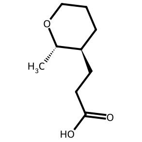 C[C@@H]1OCCC[C@H]1CCC(=O)O